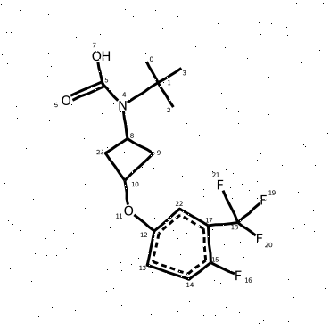 CC(C)(C)N(C(=O)O)C1CC(Oc2ccc(F)c(C(F)(F)F)c2)C1